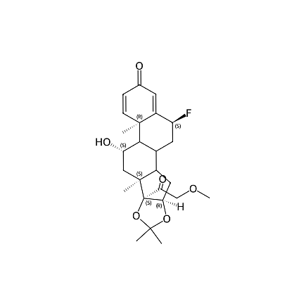 COCC(=O)[C@@]12OC(C)(C)O[C@@H]1CC1C3C[C@H](F)C4=CC(=O)C=C[C@]4(C)C3[C@@H](O)C[C@@]12C